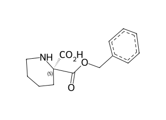 O=C(O)[C@]1(C(=O)OCc2ccccc2)CCCCN1